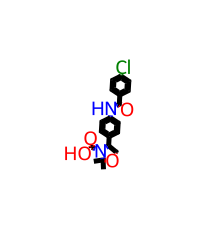 CC1(C)OCC(c2ccc(NC(=O)c3ccc(Cl)cc3)cc2)N1C(=O)O